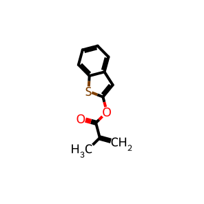 C=C(C)C(=O)Oc1cc2ccccc2s1